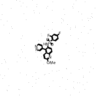 COc1ccc2c(-c3ccnnc3)c(NS(=O)(=O)c3ccc(F)cc3F)ccc2n1